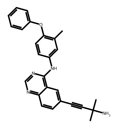 Cc1cc(Nc2ncnc3ccc(C#CC(C)(C)N)cc23)ccc1Oc1ccccc1